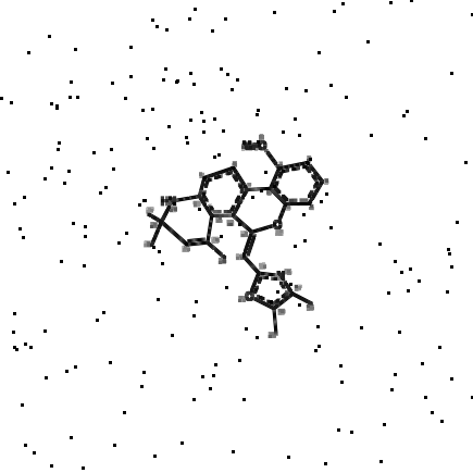 COc1cccc2c1-c1ccc3c(c1C(=Cc1nc(C)c(C)o1)O2)C(C)=CC(C)(C)N3